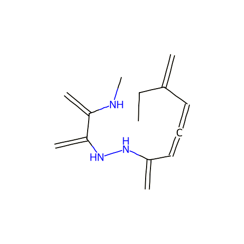 C=C(C=C=CC(=C)NNC(=C)C(=C)NC)CC